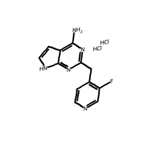 Cl.Cl.Nc1nc(Cc2ccncc2F)nc2[nH]ccc12